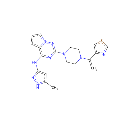 C=C(c1cscn1)N1CCN(c2nc(Nc3cc(C)[nH]n3)c3cccn3n2)CC1